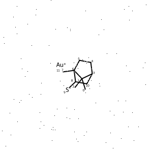 CC1(C)C2CCC1(C)C([S-])C2.[Au+]